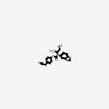 CC(CS)N(C(=O)Oc1ccc(CC#N)cc1)c1ccc2ncsc2c1